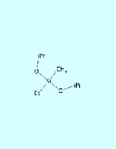 CC[Si](C)(OC(C)C)OC(C)C